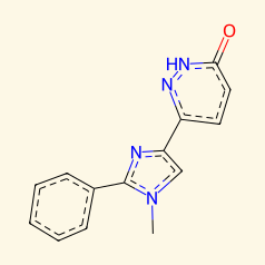 Cn1cc(-c2ccc(=O)[nH]n2)nc1-c1ccccc1